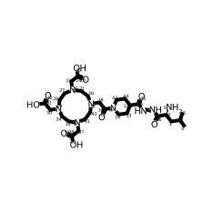 CC(C)C[C@@H](N)C(=O)NNC(=O)C1CCN(C(=O)CN2CCN(CC(=O)O)CCN(CC(=O)O)CCN(CC(=O)O)CC2)CC1